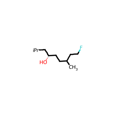 CC(C)C[C@@H](O)CCC(C)CCF